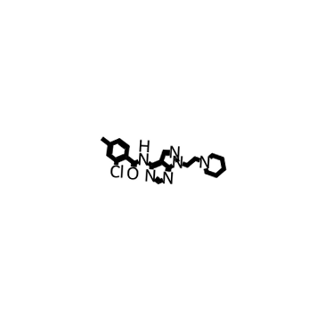 Cc1ccc(C(=O)Nc2ncnc3c2cnn3CCN2CCCCC2)c(Cl)c1